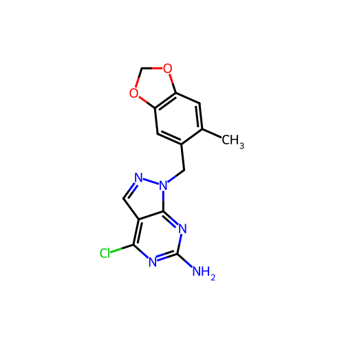 Cc1cc2c(cc1Cn1ncc3c(Cl)nc(N)nc31)OCO2